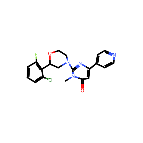 Cn1c(N2CCOC(c3c(F)cccc3Cl)C2)nc(-c2ccncc2)cc1=O